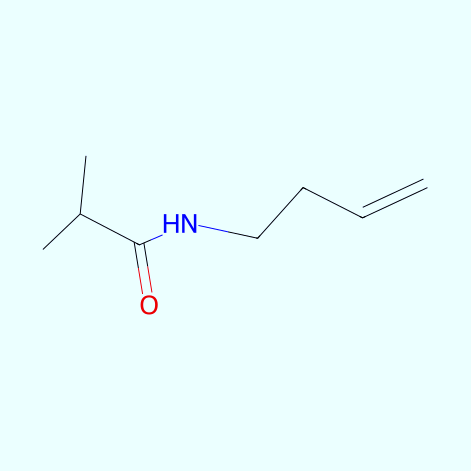 C=CCCNC(=O)C(C)C